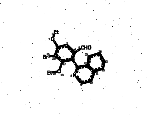 CCOc1cc(C=O)c(-c2nccc3ccccc23)c(OCC)c1Br